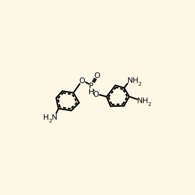 Nc1ccc(O[PH](=O)Oc2ccc(N)c(N)c2)cc1